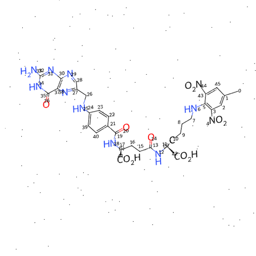 Cc1cc([N+](=O)[O-])c(NCCCC[C@H](NC(=O)CC[C@H](NC(=O)c2ccc(NCc3cnc4nc(N)[nH]c(=O)c4n3)cc2)C(=O)O)C(=O)O)c([N+](=O)[O-])c1